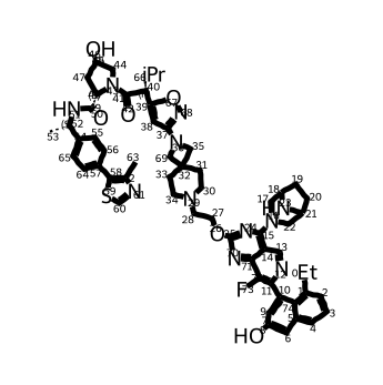 CCc1cccc2cc(O)cc(-c3ncc4c(N5CC6CCC(C5)N6)nc(OCCN5CCC6(CC5)CN(c5cc([C@H](C(=O)N7C[C@H](O)C[C@H]7C(=O)N[C@@H](C)c7ccc(-c8scnc8C)cc7)C(C)C)on5)C6)nc4c3F)c12